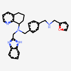 c1coc(CNCc2ccc(CN(Cc3nc4ccccc4[nH]3)C3CCCc4cccnc43)cc2)c1